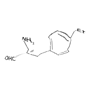 CCc1ccc(C[C@@H](N)C=O)cc1